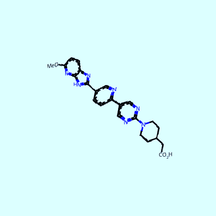 COc1ccc2nc(-c3ccc(-c4cnc(N5CCC(CC(=O)O)CC5)nc4)nc3)[nH]c2n1